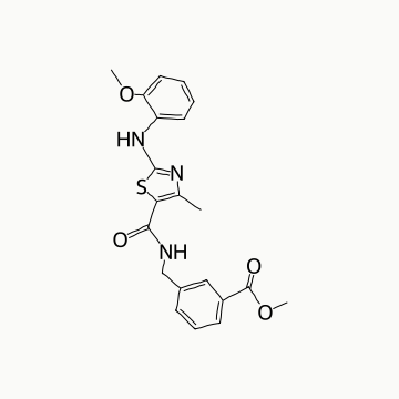 COC(=O)c1cccc(CNC(=O)c2sc(Nc3ccccc3OC)nc2C)c1